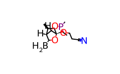 B[C@@H]1O[C@@]2(CC)CC(=C)[C@@H]1[C@@H]2OP(C)OCCC#N